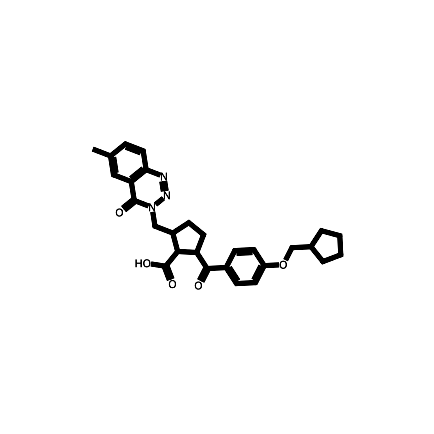 Cc1ccc2nnn(CC3CCC(C(=O)c4ccc(OCC5CCCC5)cc4)C3C(=O)O)c(=O)c2c1